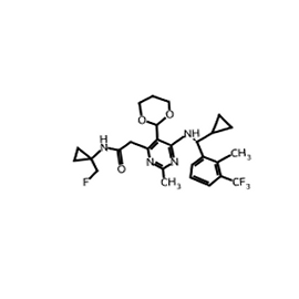 Cc1nc(CC(=O)NC2(CF)CC2)c(C2OCCCO2)c(N[C@@H](c2cccc(C(F)(F)F)c2C)C2CC2)n1